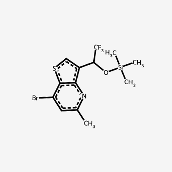 Cc1cc(Br)c2scc(C(O[Si](C)(C)C)C(F)(F)F)c2n1